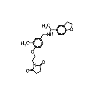 Cc1cc(CNC(C)c2ccc3c(c2)CCO3)ccc1OCCN1C(=O)CCC1=O